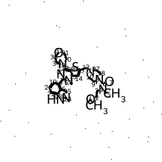 COCCN(C)C(=O)N1CCN(Cc2cc3nc(-c4cccc5[nH]ncc45)nc(N4CCOCC4)c3s2)CC1